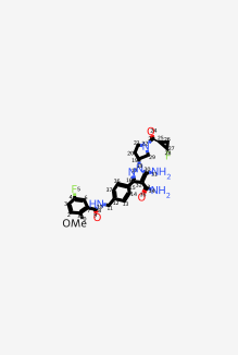 COc1ccc(F)cc1C(=O)NCc1ccc(-c2nn(C3CCN(C(=O)[C@H]4C[C@@H]4F)C3)c(N)c2C(N)=O)cc1